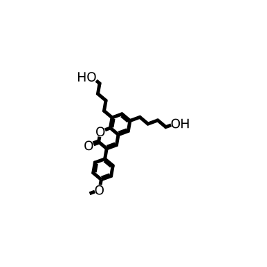 COc1ccc(-c2cc3cc(CCCCO)cc(CCCCO)c3oc2=O)cc1